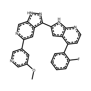 COc1cncc(-c2cc3c(-c4cc5c(-c6ccccc6F)ccnc5[nH]4)n[nH]c3cn2)c1